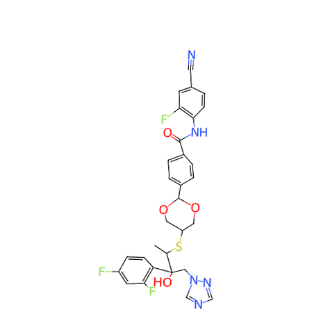 CC(SC1COC(c2ccc(C(=O)Nc3ccc(C#N)cc3F)cc2)OC1)C(O)(Cn1cncn1)c1ccc(F)cc1F